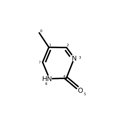 Cc1cnc(=O)[nH]c1